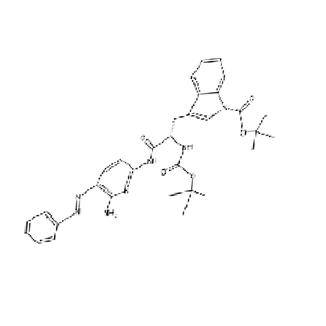 CC(C)(C)OC(=O)N[C@@H](Cc1cn(C(=O)OC(C)(C)C)c2ccccc12)C(=O)Nc1ccc(/N=N/c2ccccc2)c(N)n1